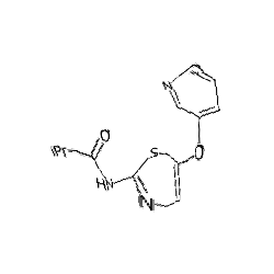 CC(C)C(=O)Nc1ncc(Oc2cccnc2)s1